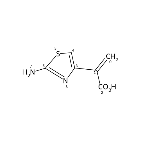 C=C(C(=O)O)c1csc(N)n1